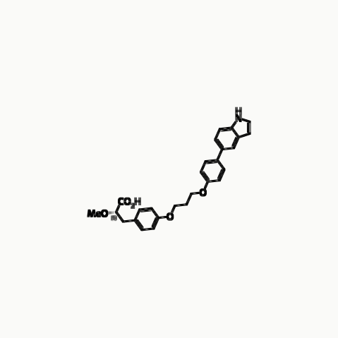 CO[C@@H](Cc1ccc(OCCCOc2ccc(-c3ccc4[nH]ccc4c3)cc2)cc1)C(=O)O